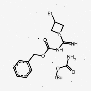 CC(C)(C)OC(N)=O.CCC1CN(C(=N)NC(=O)OCc2ccccc2)C1